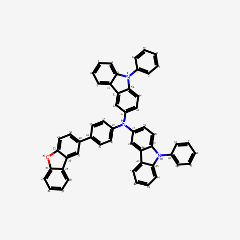 c1ccc(-n2c3ccccc3c3cc(N(c4ccc(-c5ccc6oc7ccccc7c6c5)cc4)c4ccc5c(c4)c4ccccc4n5-c4ccccc4)ccc32)cc1